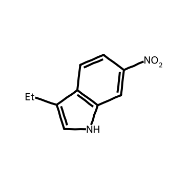 [CH2]Cc1c[nH]c2cc([N+](=O)[O-])ccc12